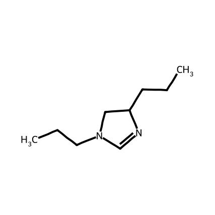 CCCC1CN(CCC)C=N1